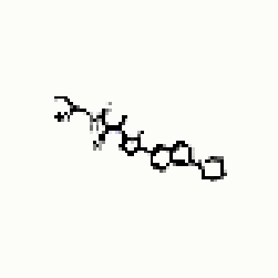 CCC(O)CNC(=O)/C(C#N)=C(\C)c1ccc(-c2ccc3cc(N4CCCCC4)ccc3c2)n1C